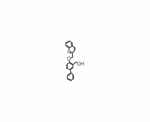 OCc1cc(-c2ccccc2)ccc1OCc1ccc2ccccc2n1